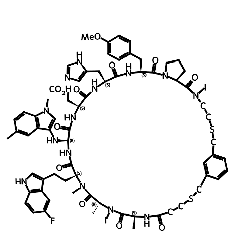 COc1ccc(C[C@@H]2NC(=O)[C@H](Cc3cnc[nH]3)NC(=O)[C@H](CC(=O)O)NC(=O)[C@H](Nc3cn(C)c4ccc(C)cc34)NC(=O)[C@H](CCc3c[nH]c4ccc(F)cc34)N(C)C(=O)[C@@H](C)N(I)C(=O)[C@H](C)NC(=O)CCSCc3cccc(c3)CSCCN(I)C(=O)C3CCCN3C2=O)cc1